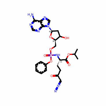 CC(C)OC(=O)[C@H](CCC(=O)C=[N+]=[N-])NP(=O)(OC[C@H]1O[C@@H](n2cnc3c(N)ncnc32)CC1O)Oc1ccccc1